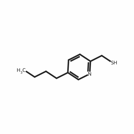 CCCCc1ccc(CS)nc1